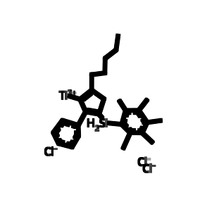 CCCCCC1=[C]([Ti+3])C(c2ccccc2)=C([SiH2]c2c(C)c(C)c(C)c(C)c2C)C1.[Cl-].[Cl-].[Cl-]